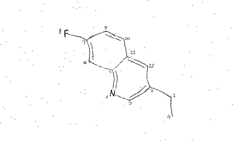 CCc1cnc2cc(F)ccc2c1